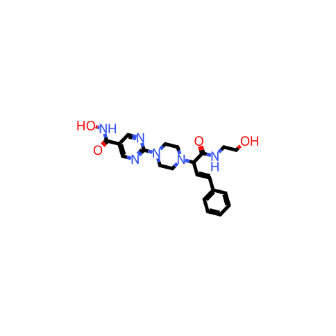 O=C(NO)c1cnc(N2CCN(C(/C=C/c3ccccc3)C(=O)NCCO)CC2)nc1